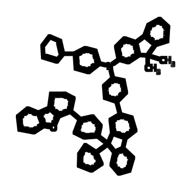 CC1(C)c2ccccc2-c2ccc(N(c3ccc(C4=CCCC=C4)cc3)c3ccc(-c4ccc5c(c4)C(c4ccccc4)(c4ccc(-c6cccc7c6oc6ccccc67)cc4)c4ccccc4-5)cc3)cc21